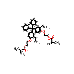 C=C(C)C(=O)OCCOc1ccc(C2(c3ccc(OCCOC(=O)C(=C)C)c(CC)c3)c3ccccc3-c3ccccc32)cc1CC